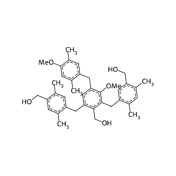 COc1cc(C)c(Cc2cc(Cc3cc(C)c(CO)cc3C)c(CO)c(Cc3cc(CO)c(C)cc3C)c2OC)cc1C